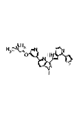 CN(C)CCOc1cncc(-c2ccc3[nH]nc(-c4cc5c(-c6ccsc6)nccc5[nH]4)c3n2)c1